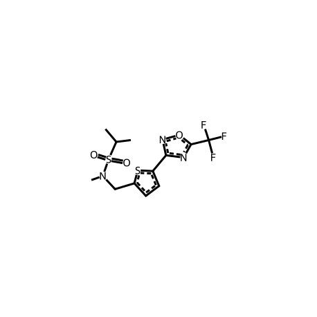 CC(C)S(=O)(=O)N(C)Cc1ccc(-c2noc(C(F)(F)F)n2)s1